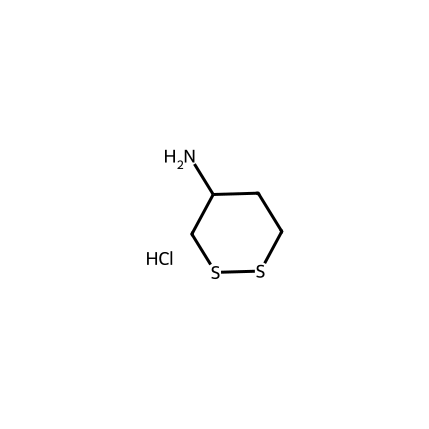 Cl.NC1CCSSC1